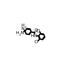 NC1(N)C=CC(C(=O)Nc2c(Cl)cccc2Cl)=CC1